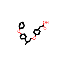 CC(=CCOc1ccc(CC(=O)O)cc1)c1ccc(Oc2ccccc2)cc1